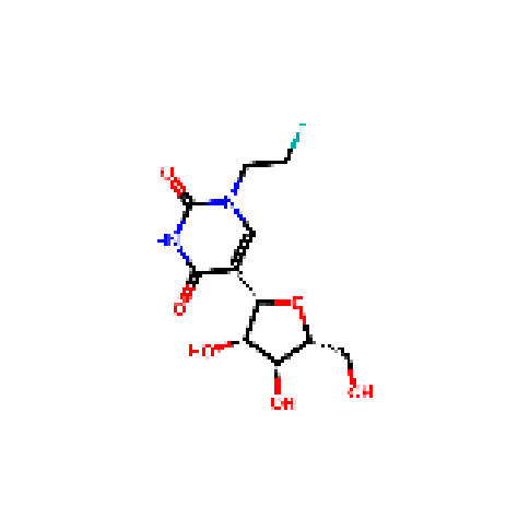 O=c1[nH]c(=O)n(CCF)cc1[C@@H]1O[C@H](CO)[C@@H](O)[C@H]1O